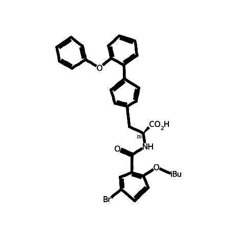 CCC(C)Oc1ccc(Br)cc1C(=O)N[C@@H](Cc1ccc(-c2ccccc2Oc2ccccc2)cc1)C(=O)O